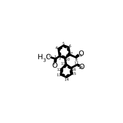 CC(=O)c1cccc(C=O)c1-c1ccccc1C=O